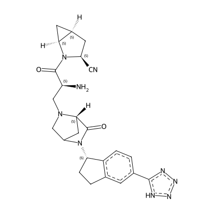 N#C[C@@H]1C[C@@H]2C[C@@H]2N1C(=O)[C@@H](N)CN1CC2C[C@H]1C(=O)N2[C@H]1CCc2cc(-c3nnn[nH]3)ccc21